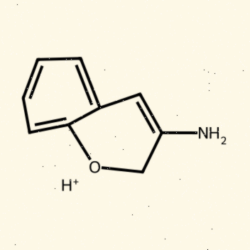 NC1=Cc2ccccc2OC1.[H+]